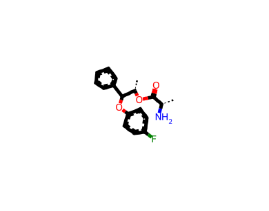 C[C@H](N)C(=O)O[C@@H](C)C(Oc1ccc(F)cc1)c1ccccc1